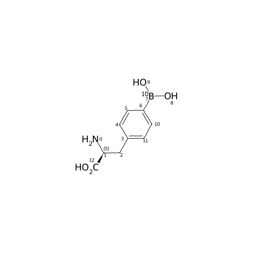 N[C@@H](Cc1ccc([10B](O)O)cc1)C(=O)O